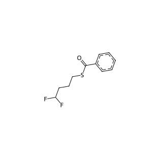 O=C(SCCCC(F)F)c1ccccc1